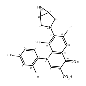 O=C(O)c1cn(-c2ccc(F)cc2F)c2c(F)c(N3CC4NC4C3)c(F)cc2c1=O